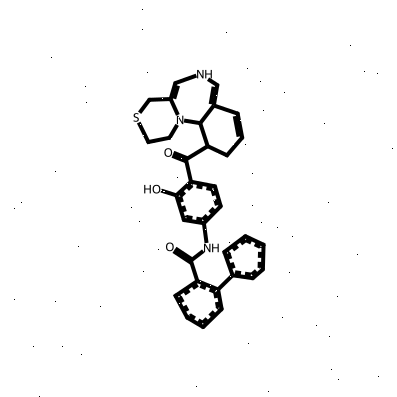 O=C(Nc1ccc(C(=O)C2CC=CC3=CNC=C4CSCCN4C32)c(O)c1)c1ccccc1-c1ccccc1